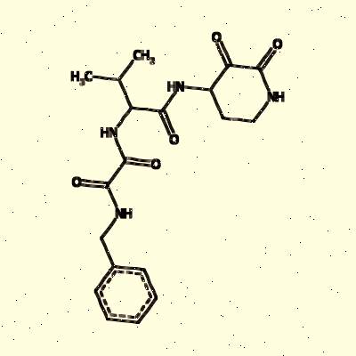 CC(C)C(NC(=O)C(=O)NCc1ccccc1)C(=O)NC1CCNC(=O)C1=O